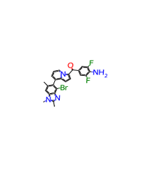 Cc1cc2c(nc(C)n2C)c(Br)c1-c1cccn2c(C(=O)c3cc(F)c(N)c(F)c3)ccc12